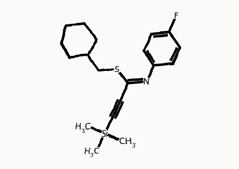 C[Si](C)(C)C#CC(=Nc1ccc(F)cc1)SCC1CCCCC1